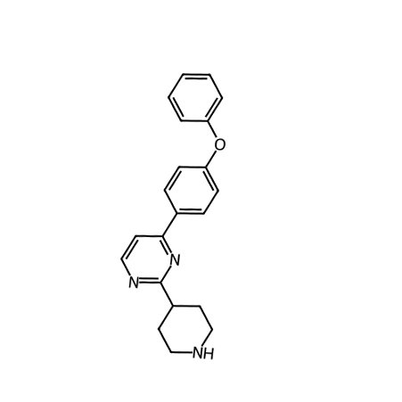 c1ccc(Oc2ccc(-c3ccnc(C4CCNCC4)n3)cc2)cc1